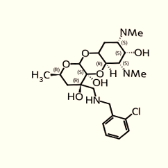 CN[C@H]1[C@@H](O)[C@@H](NC)CC2OC3O[C@H](C)C[C@@](O)(CNCc4ccccc4Cl)[C@]3(O)O[C@@H]21